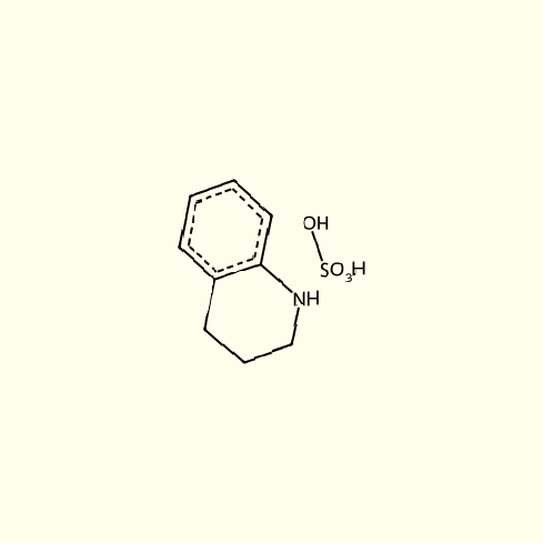 O=S(=O)(O)O.c1ccc2c(c1)CCCN2